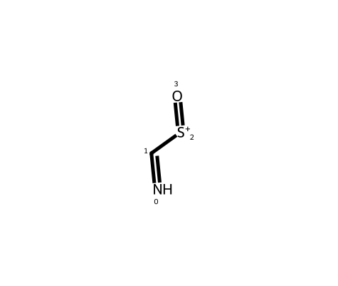 N=C[S+]=O